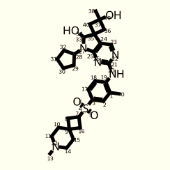 Cc1cc(S(=O)(=O)C2CC3(CCN(C)CC3)C2)ccc1Nc1ncc2c(n1)N(C1CCCC1)C(O)C21CC(C)(O)C1